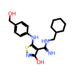 N=C(NCC1CCCCC1)c1c(O)nsc1Nc1ccc(CO)cc1